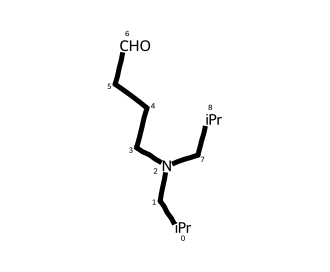 CC(C)CN(CCCC=O)CC(C)C